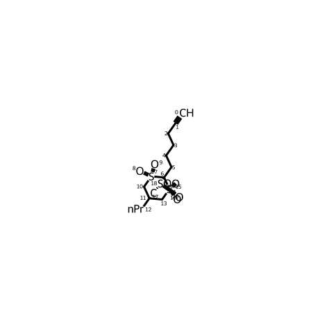 C#CCCCCC12S(=O)(=O)CC(CCC)(CS1(=O)=O)CS2(=O)=O